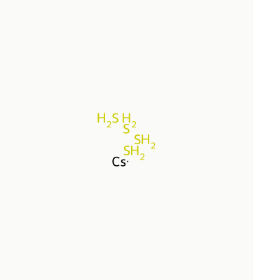 S.S.S.S.[Cs]